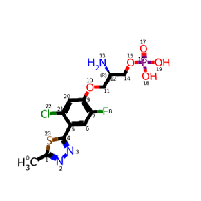 Cc1nnc(-c2cc(F)c(OC[C@@H](N)COP(=O)(O)O)cc2Cl)s1